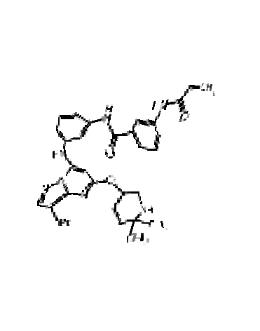 C=CC(=O)Nc1cccc(C(=O)Nc2cccc(Nc3cc(OC4CCC(C)(C)NC4)nc4c(C(C)C)cnn34)c2)c1